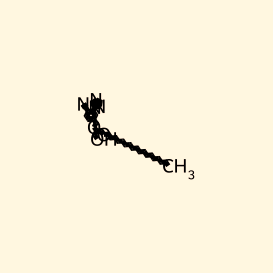 CCCCCCCCCCCCCCCCCCOCC(CO)OCc1ccc(C#N)c(-n2cncn2)c1